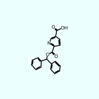 O=C(O)c1ccc(C(=O)OC(c2ccccc2)c2ccccc2)nc1